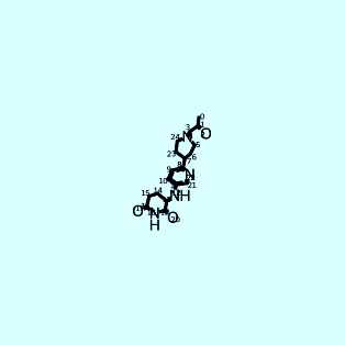 CC(=O)CN1CCC(c2ccc(NC3CCC(=O)NC3=O)cn2)CC1